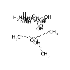 CCCCCCCCC(CCCCCCCC)(CCCCCCCC)C(=O)O.N=C(N)NC(=N)N.O=C(O)Cc1nc(CC(=O)O)c(CC(=O)O)[nH]1